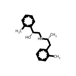 Cc1ccccc1C[C@@H](C)NC[C@H](O)c1ccccc1C